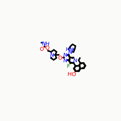 CCc1cccc2cc(O)cc(-c3ncc4c(N5CC6CCC(C5)N6)nc(OCC56CCCN5C(COC(=O)NC)CC6)nc4c3F)c12